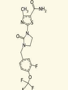 Cc1nc(N2CCN(Cc3ccc(OC(F)(F)F)c(F)c3)C2=O)sc1C(N)=O